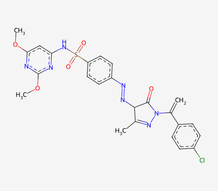 C=C(c1ccc(Cl)cc1)N1N=C(C)C(/N=N/c2ccc(S(=O)(=O)Nc3cc(OC)nc(OC)n3)cc2)C1=O